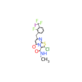 CCNC(=O)c1c(Cl)sc2nc(Cc3cccc(C(F)(F)I)c3F)cc(=O)n12